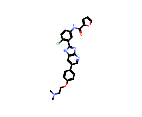 CN(C)CCOc1ccc(-c2cnc3nc(-c4cc(NC(=O)c5ccco5)ccc4Cl)[nH]c3c2)cc1